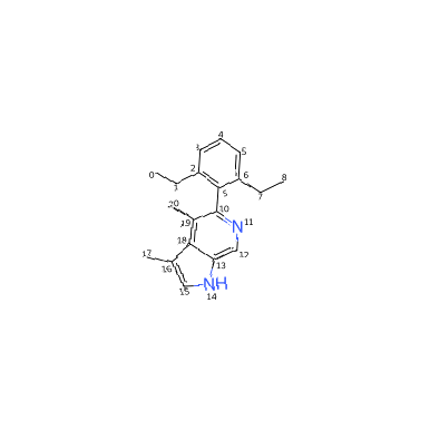 CCc1cccc(CC)c1-c1ncc2[nH]cc(C)c2c1C